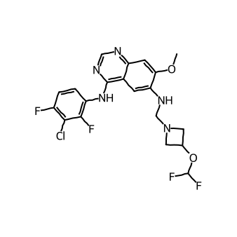 COc1cc2ncnc(Nc3ccc(F)c(Cl)c3F)c2cc1NCN1CC(OC(F)F)C1